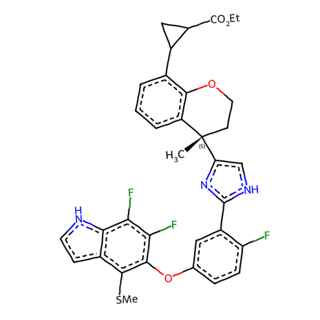 CCOC(=O)C1CC1c1cccc2c1OCC[C@]2(C)c1c[nH]c(-c2cc(Oc3c(F)c(F)c4[nH]ccc4c3SC)ccc2F)n1